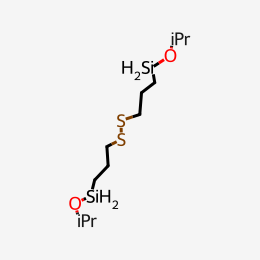 CC(C)O[SiH2]CCCSSCCC[SiH2]OC(C)C